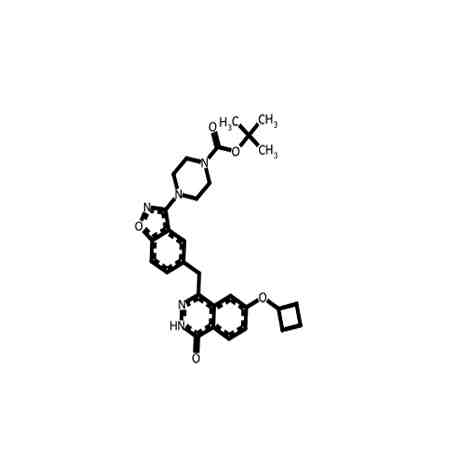 CC(C)(C)OC(=O)N1CCN(c2noc3ccc(Cc4n[nH]c(=O)c5ccc(OC6CCC6)cc45)cc23)CC1